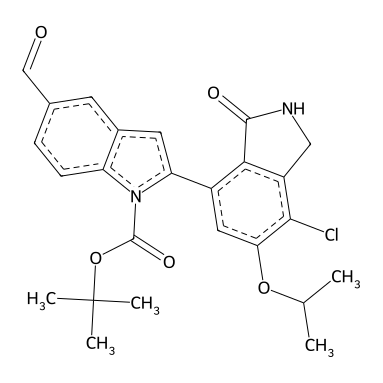 CC(C)Oc1cc(-c2cc3cc(C=O)ccc3n2C(=O)OC(C)(C)C)c2c(c1Cl)CNC2=O